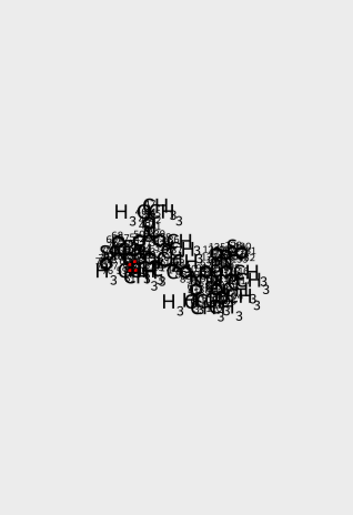 CC(C)(C)c1ccc(N(c2ccc(C(C)(C)CCC(C)(C)c3ccc(N4c5cc(N(c6ccc(C(C)(C)C)cc6)c6ccc(C(C)(C)C)cc6)ccc5B5c6c4cc(C(C)(C)C)cc6-n4c6c5cccc6c5sc6ccccc6c54)c(-c4ccccc4)c3)cc2)c2ccc3c(c2)N(c2ccc4c(c2)C(C)(C)CCC4(C)C)c2cc(C(C)(C)C)cc4c2B3c2cccc3c5sc6ccccc6c5n-4c23)cc1